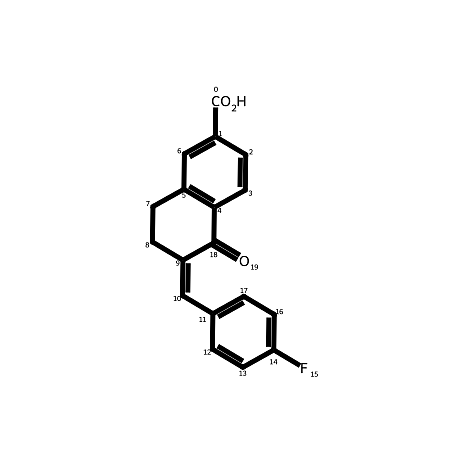 O=C(O)c1ccc2c(c1)CC/C(=C/c1ccc(F)cc1)C2=O